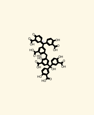 O=C(O)C1=C/C(=C(/c2ccc(O)c(C(=O)O)c2)c2cc(Cc3cc(C(O)(c4ccc(O)c(C(=O)O)c4)c4ccc(O)c(C(=O)O)c4)cc(C(=O)O)c3O)c(O)c(C(=O)O)c2)C=CC1=O